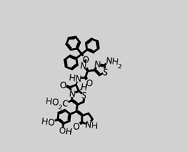 Nc1nc(C(=NOC(c2ccccc2)(c2ccccc2)c2ccccc2)C(=O)N[C@@H]2C(=O)N3C(C(=O)O)=C(C(=C4CCNC4=O)c4ccc(O)c(O)c4)CS[C@H]23)cs1